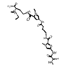 C=CN(C)/C(=C\CNC(=O)c1cc(NC(=O)CCCNC(=O)c2nc(NC(=O)C(=N)NC)cn2C)cn1C)C(N)=O